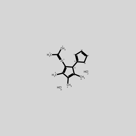 C[C](C)=[Zr][C]1=C(C)C(C)=C(C)C1C1=CC=CC1.Cl.Cl